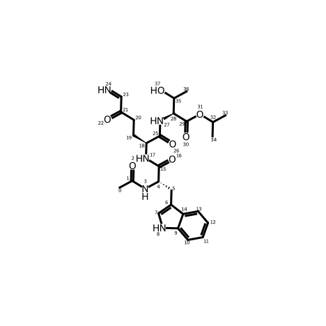 CC(=O)N[C@@H](Cc1c[nH]c2ccccc12)C(=O)N[C@@H](CCC(=O)C=N)C(=O)N[C@H](C(=O)OC(C)C)C(C)O